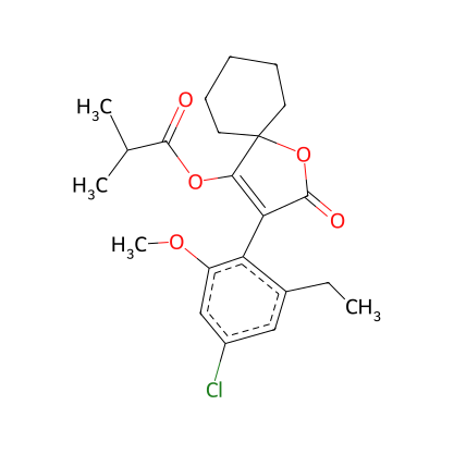 CCc1cc(Cl)cc(OC)c1C1=C(OC(=O)C(C)C)C2(CCCCC2)OC1=O